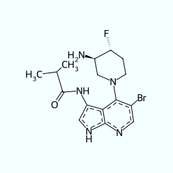 CC(C)C(=O)Nc1c[nH]c2ncc(Br)c(N3CC[C@@H](F)[C@H](N)C3)c12